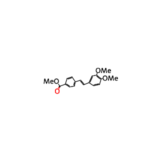 COC(=O)c1ccc(/C=C/c2ccc(OC)c(OC)c2)cc1